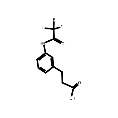 O=C(O)CCc1cccc(NC(=O)C(F)(F)F)c1